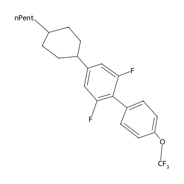 CCCCCC1CCC(c2cc(F)c(-c3ccc(OC(F)(F)F)cc3)c(F)c2)CC1